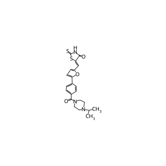 CC(C)N1CCN(C(=O)c2ccc(-c3ccc(/C=C4\SC(=S)NC4=O)o3)cc2)CC1